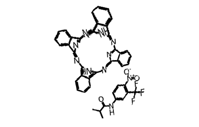 CC(C)C(=O)Nc1ccc([N+](=O)[O-])c(C(F)(F)F)c1.c1ccc2c(c1)-c1nc-2nc2[nH]c(nc3nc(nc4[nH]c(n1)c1ccccc41)-c1ccccc1-3)c1ccccc21